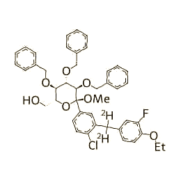 [2H]C([2H])(c1ccc(OCC)c(F)c1)c1cc([C@]2(OC)O[C@H](CO)[C@@H](OCc3ccccc3)[C@H](OCc3ccccc3)[C@H]2OCc2ccccc2)ccc1Cl